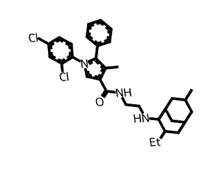 CCC1CC2CC(C)CC(C2)C1NCCNC(=O)c1cn(-c2ccc(Cl)cc2Cl)c(-c2ccccc2)c1C